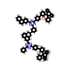 C1=C(c2cccc(-c3nc(-c4ccc(-c5cccc6c5Oc5ccccc5C65c6ccccc6-c6ccccc65)cc4)nc(-c4ccc5c(ccc6ccccc65)c4)n3)c2)Cc2cccc3cc(-c4nc(-c5ccccc5)nc(-c5ccc(-c6cccc7c6Oc6ccccc6C76c7ccccc7-c7ccccc76)cc5)n4)cc1c23